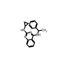 CC(Nc1nc(NC2CC2)nc2ccccc12)c1ccccc1